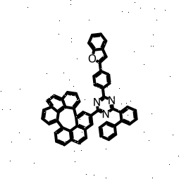 c1ccc(-c2ccccc2-c2nc(-c3ccc(-c4cc5ccccc5o4)cc3)nc(-c3cc4ccc5cccc6c7cccc8ccc9cccc(c(c3)c4c56)c9c87)n2)cc1